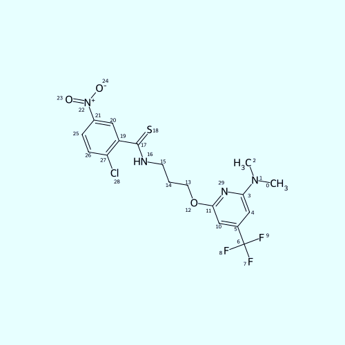 CN(C)c1cc(C(F)(F)F)cc(OCCCNC(=S)c2cc([N+](=O)[O-])ccc2Cl)n1